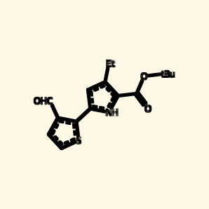 CCc1cc(-c2sccc2C=O)[nH]c1C(=O)OC(C)(C)C